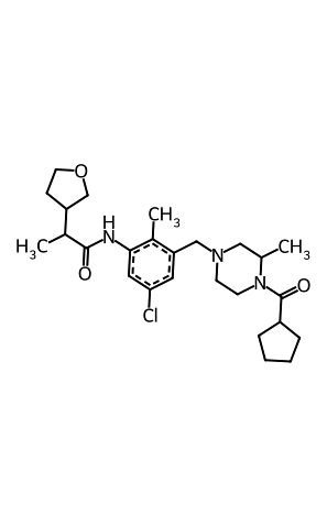 Cc1c(CN2CCN(C(=O)C3CCCC3)C(C)C2)cc(Cl)cc1NC(=O)C(C)C1CCOC1